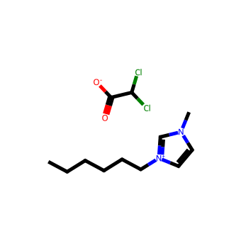 CCCCCC[n+]1ccn(C)c1.O=C([O-])C(Cl)Cl